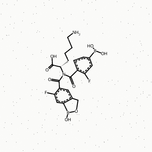 NCCCC[C@@H](C(=O)O)N(C(=O)c1ccc(B(O)O)cc1F)C(=O)c1cc2c(cc1F)B(O)OC2